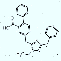 CCn1nc(Cc2ccccc2)nc1Cc1ccc(-c2ccccc2)c(C(=O)O)c1